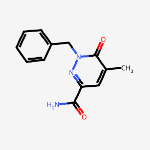 Cc1cc(C(N)=O)nn(Cc2ccccc2)c1=O